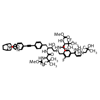 COC(=O)NC(C(=O)N[C@@H](Cc1ccc(C#Cc2ccc(N3CC4CCC(C3)N4C3COC3)nc2)cc1)[C@@H](O)CN(Cc1c(F)cc(C(=N)/C=C\NCC(C)(C)O)cc1F)NC(=O)[C@@H](NC(=O)OC)C(C)(C)C(F)(F)F)C(C)(C)C(F)(F)F